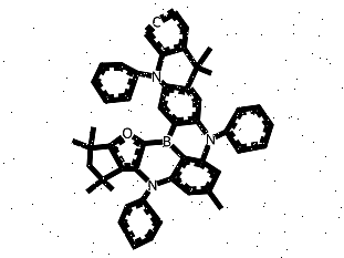 Cc1cc2c3c(c1)N(c1ccccc1)c1c(oc4c1C(C)(C)CC4(C)C)B3c1cc3c(cc1N2c1ccccc1)C(C)(C)c1ccccc1N3c1ccccc1